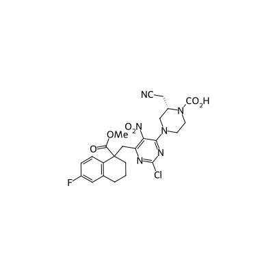 COC(=O)C1(Cc2nc(Cl)nc(N3CCN(C(=O)O)[C@@H](CC#N)C3)c2[N+](=O)[O-])CCCc2cc(F)ccc21